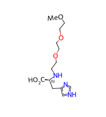 COCCOCCOCCN[C@@H](Cc1c[nH]cn1)C(=O)O